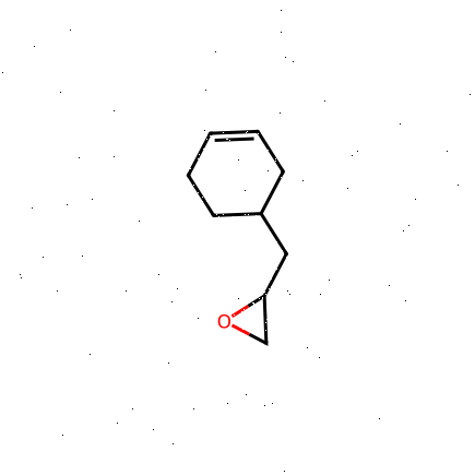 C1=CCC(CC2CO2)CC1